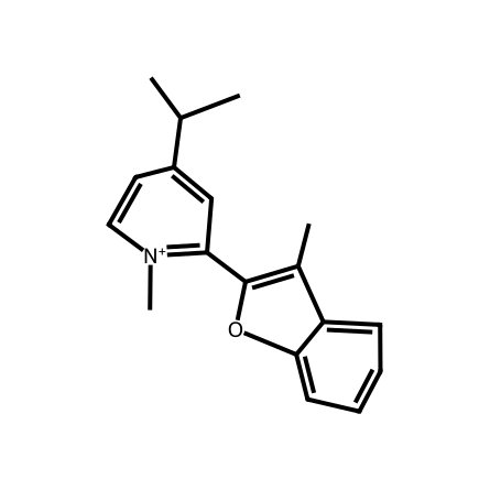 Cc1c(-c2cc(C(C)C)cc[n+]2C)oc2ccccc12